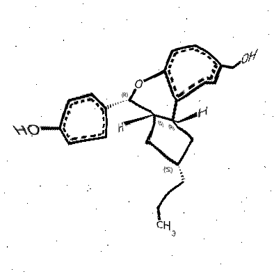 CCC[C@@H]1C[C@H]2[C@@H](C1)c1cc(O)ccc1O[C@H]2c1ccc(O)cc1